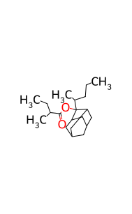 CCCC(C)C1(OC(=O)C(C)CC)C2CC3CC(C2)CC1C3